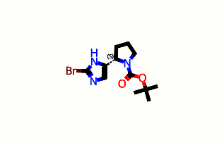 CC(C)(C)OC(=O)N1CCC[C@H]1c1cnc(Br)[nH]1